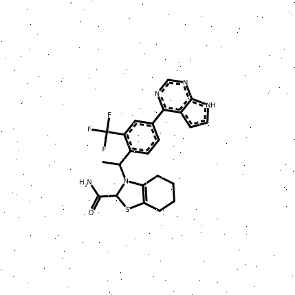 CC(c1ccc(-c2ncnc3[nH]ccc23)cc1C(F)(F)F)N1C2=C(CCCC2)SC1C(N)=O